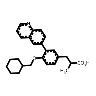 CC(Cc1ccc(OCC2CCCCC2)c(-c2ccc3ncccc3c2)c1)C(=O)O